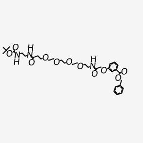 CC(C)(C)OC(=O)NCCNC(=O)CCOCCOCCOCCOCCNC(=O)COc1cccc(C(=O)OCc2ccccc2)c1